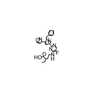 CCC(CCNc1nc(-c2cc(-c3ccon3)n(Cc3ccccc3)n2)ncc1F)C(=O)O